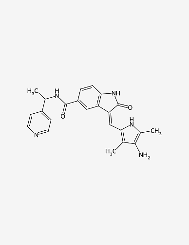 Cc1[nH]c(/C=C2\C(=O)Nc3ccc(C(=O)NC(C)c4ccncc4)cc32)c(C)c1N